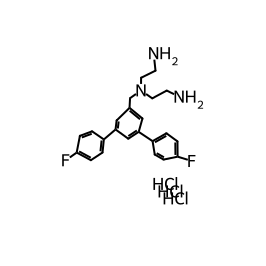 Cl.Cl.Cl.NCCN(CCN)Cc1cc(-c2ccc(F)cc2)cc(-c2ccc(F)cc2)c1